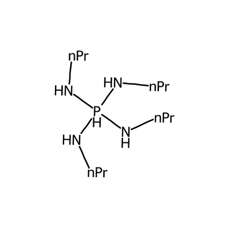 CCCN[PH](NCCC)(NCCC)NCCC